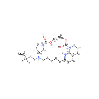 COC(C)(C)CCN(CCCCCc1ccc2c(n1)N(C(=O)OC(C)(C)C)CCC2)[C@@H]1CCN(C(=O)OC(C)(C)C)C1